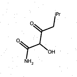 CC(C)CC(=O)C(O)C(N)=O